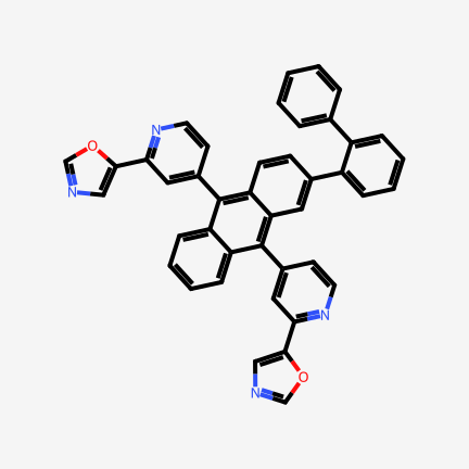 c1ccc(-c2ccccc2-c2ccc3c(-c4ccnc(-c5cnco5)c4)c4ccccc4c(-c4ccnc(-c5cnco5)c4)c3c2)cc1